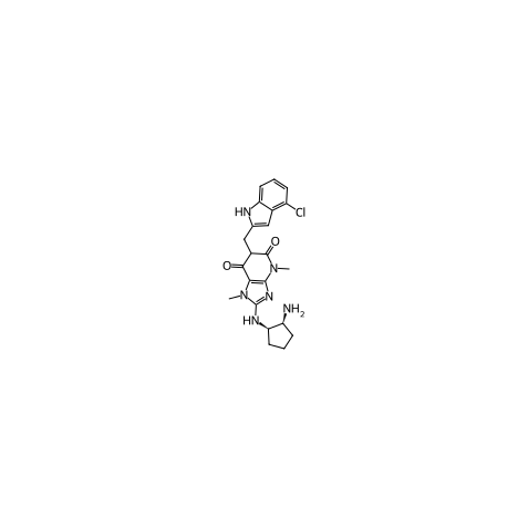 CN1C(=O)C(Cc2cc3c(Cl)cccc3[nH]2)C(=O)c2c1nc(N[C@@H]1CCC[C@@H]1N)n2C